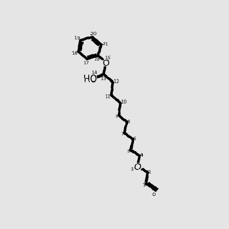 C=CCOCCCCCCCCCC(O)Oc1ccccc1